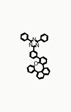 c1ccc(-c2nc(-c3ccccc3)nc(-c3cccc(-c4cccc5c4Oc4ccccc4-c4cccc6cccc-5c46)c3)n2)cc1